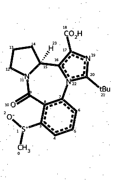 C[S+]([O-])c1cccc2c1C(=O)N1CCC[C@H]1c1c(C(=O)O)nc(C(C)(C)C)n1-2